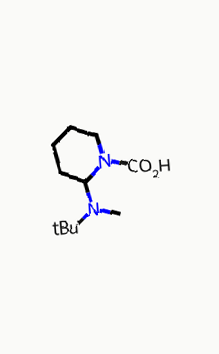 CN(C1CCCCN1C(=O)O)C(C)(C)C